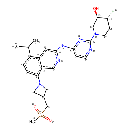 CC(C)c1ccc(N2CC(CS(C)(=O)=O)C2)c2cnc(Nc3ccnc(N4CC[C@@H](F)[C@H](O)C4)n3)cc12